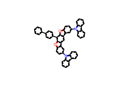 c1ccc(-c2ccc(-c3c4oc5ccc(-n6c7ccccc7c7ccccc76)cc5c4cc4c3oc3ccc(-n5c6ccccc6c6ccccc65)cc34)cc2)cc1